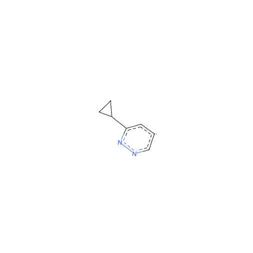 [c]1cnnc(C2CC2)c1